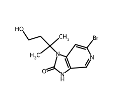 CC(C)(CCO)n1c(=O)[nH]c2cnc(Br)cc21